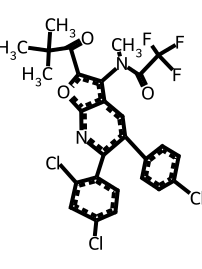 CN(C(=O)C(F)(F)F)c1c(C(=O)C(C)(C)C)oc2nc(-c3ccc(Cl)cc3Cl)c(-c3ccc(Cl)cc3)cc12